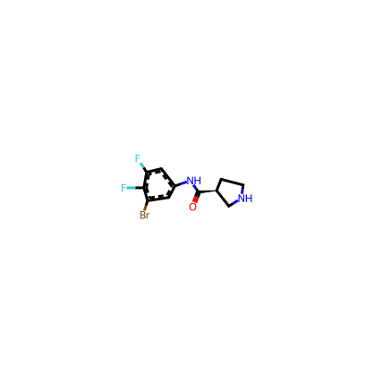 O=C(Nc1cc(F)c(F)c(Br)c1)[C@H]1CCNC1